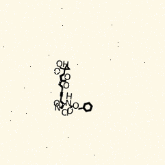 O=C(Nc1c(Cl)noc1C#Cc1cc2cc(C3(C(=O)O)CC3)oc2o1)OCc1ccccc1